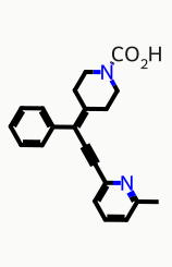 Cc1cccc(C#CC(=C2CCN(C(=O)O)CC2)c2ccccc2)n1